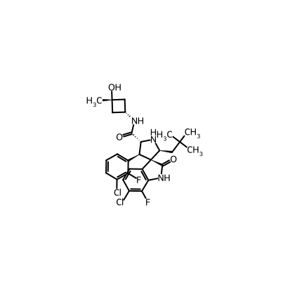 CC(C)(C)C[C@@H]1N[C@@H](C(=O)N[C@H]2C[C@@](C)(O)C2)[C@H](c2cccc(Cl)c2F)[C@]12C(=O)Nc1c2ccc(Cl)c1F